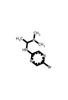 CC(Nc1cnc(Br)cn1)N(C)C